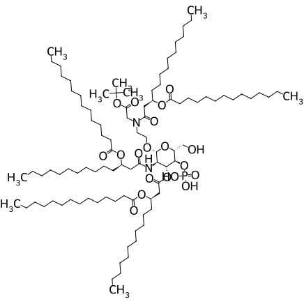 CCCCCCCCCCCCCC(=O)O[C@H](CCCCCCCCCCC)CC(=O)N[C@H]1[C@H](OCCN(CC(=O)OC(C)(C)C)C(=O)C[C@@H](CCCCCCCCCCC)OC(=O)CCCCCCCCCCCCC)O[C@H](CO)[C@@H](OP(=O)(O)O)[C@@H]1OC(=O)C[C@@H](CCCCCCCCCCC)OC(=O)CCCCCCCCCCCCC